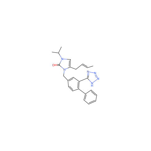 CC=CCc1cn(C(C)C)c(=O)n1Cc1ccc(-c2ccccc2)c(-c2nnn[nH]2)c1